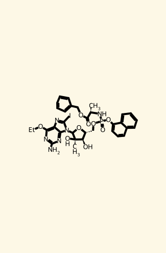 CCOc1nc(N)nc2c1nc(I)n2C1O[C@H](COP(=O)(N[C@@H](C)C(=O)OCc2ccccc2)Oc2cccc3ccccc23)[C@@H](O)[C@@]1(C)O